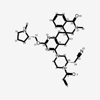 C=CC(=O)N1CCN(c2nc(OC[C@@H]3CCCN3C)nc3c2CCC2(C3)CN(C)C(=O)c3ccccc32)C[C@@H]1CC#N